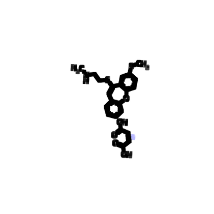 CNCCSC1=Cc2ccccc2Oc2ccc(SC)cc21.O=C(O)/C=C\C(=O)O